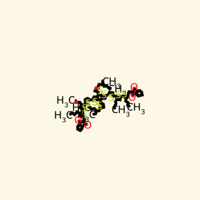 CCCCc1cc(C=C2C(=O)c3ccccc3C2=O)sc1-c1cc(CCCC)c(-c2ccc(-c3cc4c(-c5ccc(CC(CC)CCCC)s5)c5sc(-c6ccc(-c7sc(-c8sc(C=C9C(=O)c%10ccccc%10C9=O)cc8CCCC)cc7CCCC)s6)cc5c(-c5ccc(CC(CC)CCCC)s5)c4s3)s2)s1